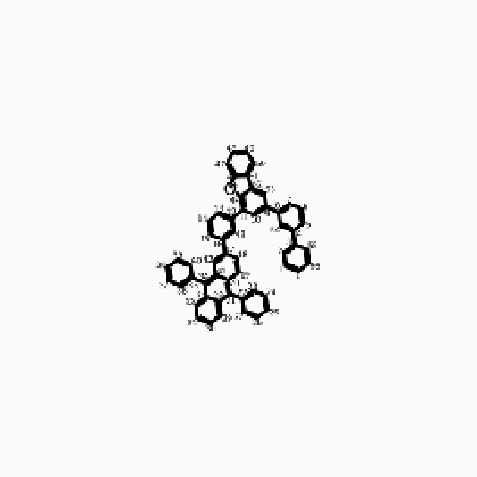 c1ccc(-c2cccc(-c3cc(-c4cccc(-c5ccc6c(-c7ccccc7)c7ccccc7c(-c7ccccc7)c6c5)c4)c4oc5ccccc5c4c3)c2)cc1